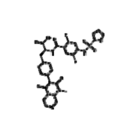 Cn1c(=O)n(-c2ccc(C[C@H](NC(=O)c3cc(F)c(NS(=O)(=O)c4ccco4)cc3F)C(=O)O)nc2)c(=O)c2ccncc21